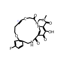 CN1CN2C(=O)CC/C=C/CCOc3cc(F)ccc3CNC(=O)c3cn2c(c(O)c3=O)C1=O